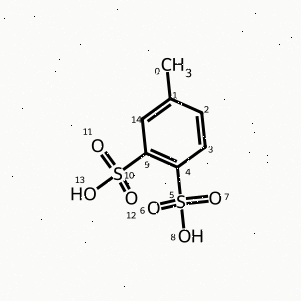 Cc1ccc(S(=O)(=O)O)c(S(=O)(=O)O)c1